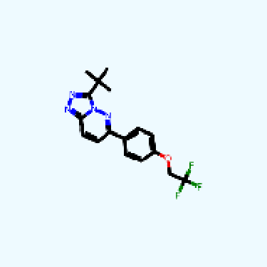 CC(C)(C)c1nnc2ccc(-c3ccc(OCC(F)(F)F)cc3)nn12